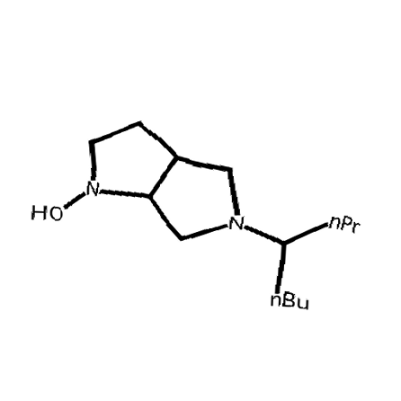 CCCCC(CCC)N1CC2CCN(O)C2C1